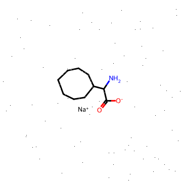 NC(C(=O)[O-])C1CCCCCCC1.[Na+]